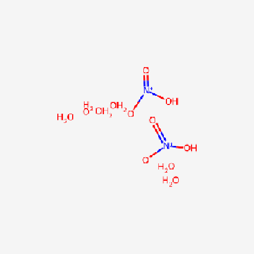 O.O.O.O.O.O.O=[N+]([O-])O.O=[N+]([O-])O